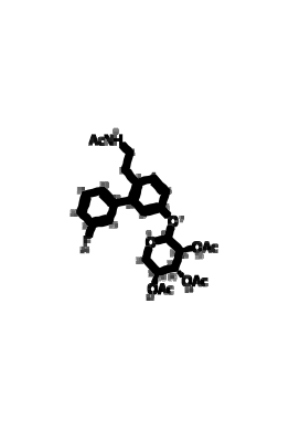 CC(=O)NCCc1ccc(OC2OC[C@H](OC(C)=O)[C@@H](OC(C)=O)[C@@H]2OC(C)=O)cc1-c1cccc(F)c1